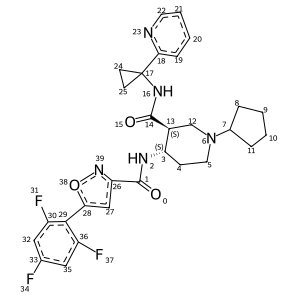 O=C(N[C@H]1CCN(C2CCCC2)C[C@@H]1C(=O)NC1(c2ccccn2)CC1)c1cc(-c2c(F)cc(F)cc2F)on1